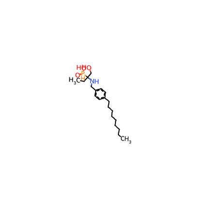 CCCCCCCCCc1ccc(CNC(CC)(CO)[PH](=O)O)cc1